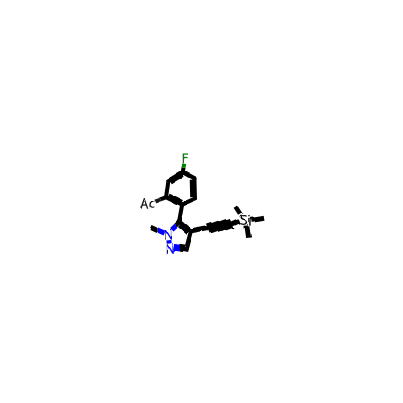 CC(=O)c1cc(F)ccc1-c1c(C#C[Si](C)(C)C)cnn1C